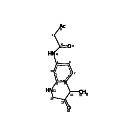 CC(=O)CC(=O)Nc1ccc2c(c1)NCC(=O)C2C